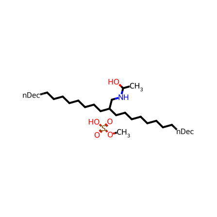 CCCCCCCCCCCCCCCCCCC(CCCCCCCCCCCCCCCCCC)CNC(C)O.COS(=O)(=O)O